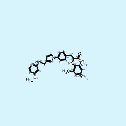 COc1ccnc(NCc2ccn(-c3ccc(CC(Nc4c(C)cc(C)cc4C)C(=O)O)cc3)n2)c1